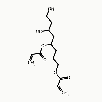 C=CC(=O)OCCCC(CC(O)CCO)OC(=O)C=C